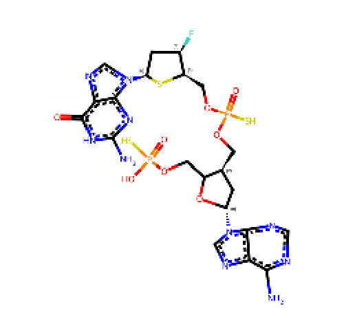 Nc1nc2c(ncn2[C@H]2C[C@@H](F)[C@@H](COP(=O)(S)OC[C@H]3C[C@H](n4cnc5c(N)ncnc54)OC3COP(=O)(O)S)S2)c(=O)[nH]1